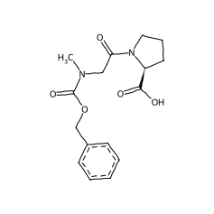 CN(CC(=O)N1CCC[C@H]1C(=O)O)C(=O)OCc1ccccc1